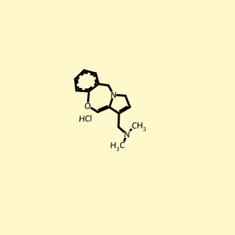 CN(C)CC1=CCN2Cc3ccccc3OC=C12.Cl